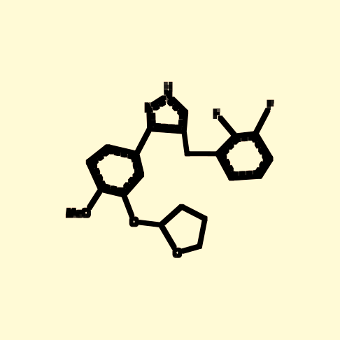 COc1ccc(-c2n[nH]cc2Cc2cccc(F)c2F)cc1OC1CCCO1